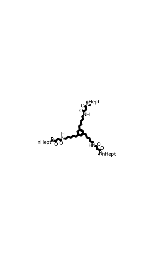 CCCCCCCN(C)C(=O)CC(=O)NCCCCCc1cc(CCCCCNC(=O)CC(=O)N(C)CCCCCCC)cc(CCCCCNC(=O)CC(=O)N(C)CCCCCCC)c1